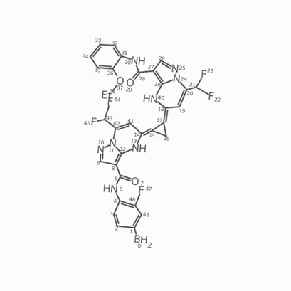 Bc1ccc(NC(=O)c2cnn3c2N/C(=C2\C\C2=C2/C=C(C(F)F)n4ncc(C(=O)Nc5ccccc5OCC)c4N2)C=C3C(F)F)c(F)c1